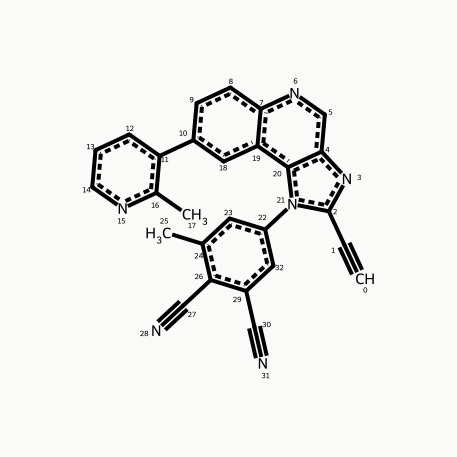 C#Cc1nc2cnc3ccc(-c4cccnc4C)cc3c2n1-c1cc(C)c(C#N)c(C#N)c1